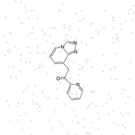 O=C(Cc1cccn2cnnc12)c1ccccn1